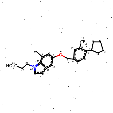 Cc1cc(OCc2ccc(C3CCCC3)c(C(F)(F)F)c2)cc2ccn(CCC(=O)O)c12